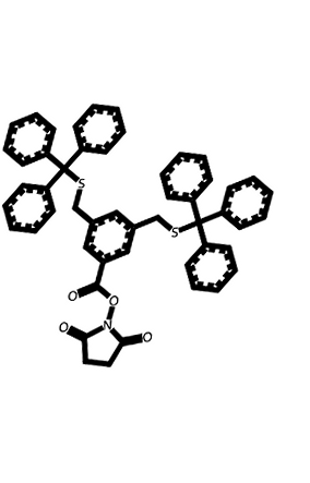 O=C(ON1C(=O)CCC1=O)c1cc(CSC(c2ccccc2)(c2ccccc2)c2ccccc2)cc(CSC(c2ccccc2)(c2ccccc2)c2ccccc2)c1